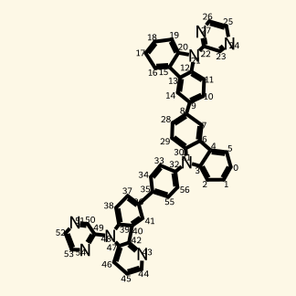 c1ccc2c(c1)c1cc(-c3ccc4c(c3)c3ccccc3n4-c3cnccn3)ccc1n2-c1ccc(-c2ccc3c(c2)c2ncccc2n3-c2cnccn2)cc1